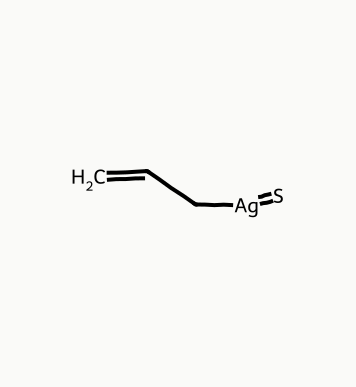 C=C[CH2][Ag]=[S]